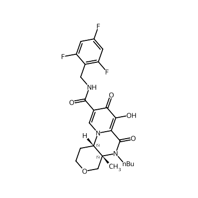 CCCCN1C(=O)c2c(O)c(=O)c(C(=O)NCc3c(F)cc(F)cc3F)cn2[C@H]2CCOC[C@]21C